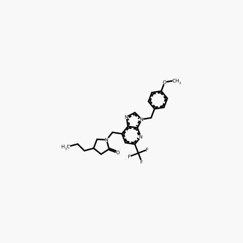 CCCC1CC(=O)N(Cc2cc(C(F)(F)F)nc3c2ncn3Cc2ccc(OC)cc2)C1